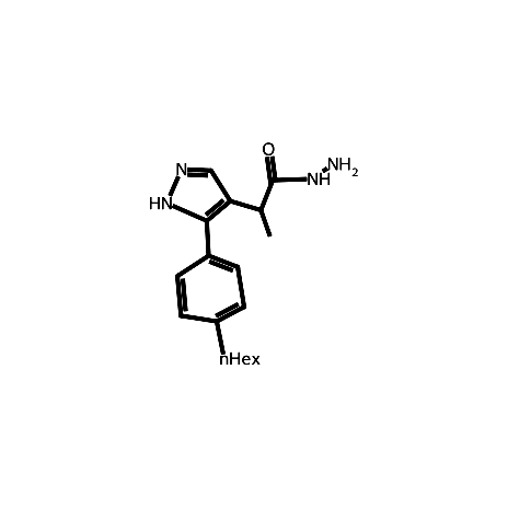 CCCCCCc1ccc(-c2[nH]ncc2C(C)C(=O)NN)cc1